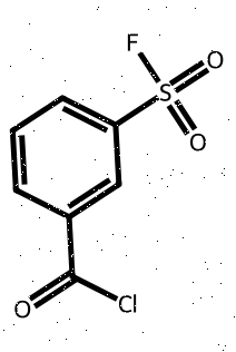 O=C(Cl)c1cccc(S(=O)(=O)F)c1